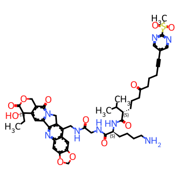 CC[C@@]1(O)C(=O)OCc2c1cc1n(c2=O)Cc2c-1nc1cc3c(cc1c2CNC(=O)CNC(=O)[C@H](CCCCN)NC(=O)[C@@H](CCCC(=O)CCCC#Cc1cnc(S(C)(=O)=O)nc1)C(C)C)OCO3